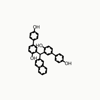 Oc1ccc(-c2ccc(O)c(C(c3ccc4ccccc4c3)c3cc(-c4ccc(O)cc4)ccc3O)c2)cc1